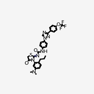 CCCc1ccc(N(C)C)cc1N1C(=O)CS/C1=N\C(=O)Nc1ccc(-n2cnc(-c3ccc(OC(F)(F)F)cc3)n2)cc1